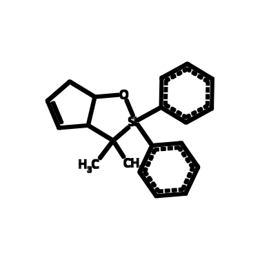 CC1(C)C2C=CCC2O[Si]1(c1ccccc1)c1ccccc1